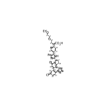 CCOCCOCCN(C(=O)O)c1ccc(-c2[nH]c([C@@H]3CCc4nc(-c5cc(Cl)ccc5-n5cnnn5)cc(=O)n43)nc2F)cn1